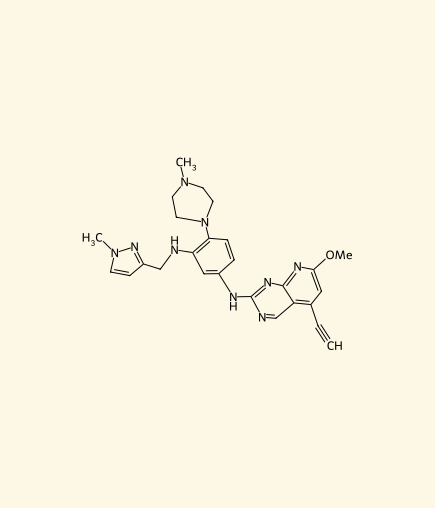 C#Cc1cc(OC)nc2nc(Nc3ccc(N4CCN(C)CC4)c(NCc4ccn(C)n4)c3)ncc12